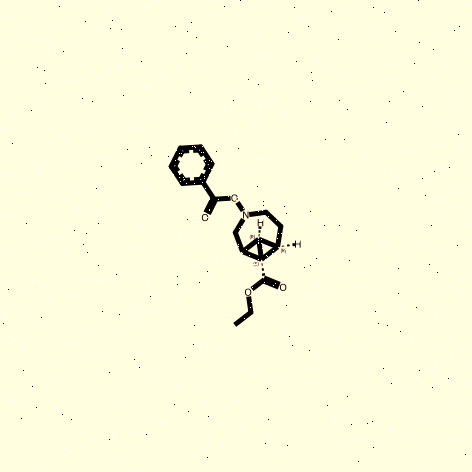 CCOC(=O)[C@@]12C3CN(OC(=O)c4ccccc4)CC[C@@H]1[C@H]32